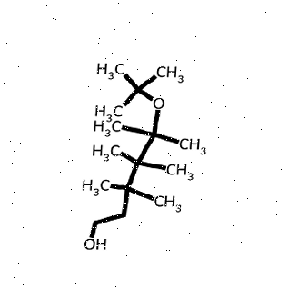 CC(C)(C)OC(C)(C)C(C)(C)C(C)(C)CCO